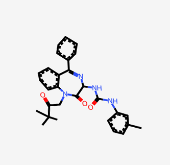 Cc1cccc(NC(=O)NC2N=C(c3ccccc3)c3ccccc3N(CC(=O)C(C)(C)C)C2=O)c1